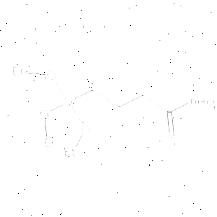 CCCCCCCC(=S)CCC[Si](OCC)(OCC)OCC